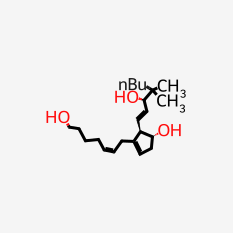 CCCCC(C)(C)[C@H](O)/C=C/[C@@H]1C(C/C=C\CCCCO)=CC[C@H]1O